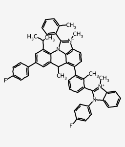 Cc1ccccc1-c1n2c3c(c(-c4cccc(-c5n(-c6ccc(F)cc6)c6ccccc6[n+]5C)c4C)ccc3[n+]1C)C(C)c1cc(-c3ccc(F)cc3)cc(C(C)C)c1-2